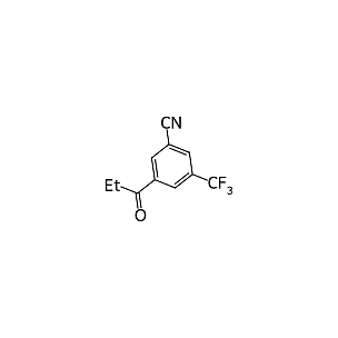 CCC(=O)c1cc(C#N)cc(C(F)(F)F)c1